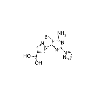 Nc1nc(-n2cccn2)nc(-n2cc(B(O)O)cn2)c1Br